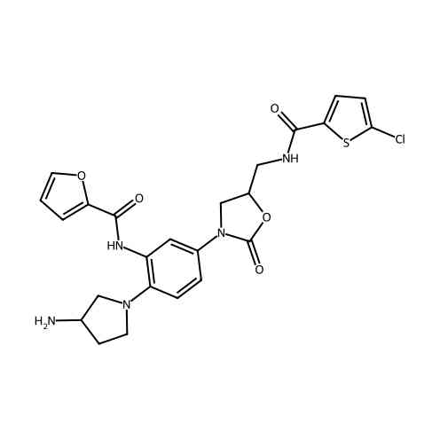 NC1CCN(c2ccc(N3CC(CNC(=O)c4ccc(Cl)s4)OC3=O)cc2NC(=O)c2ccco2)C1